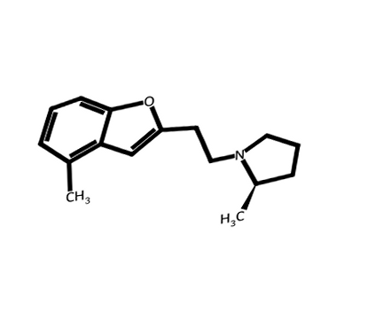 Cc1cccc2oc(CCN3CCC[C@H]3C)cc12